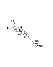 CC(C)CCCC(C)C1CCC2C3CCC4CC(OC(=O)CCCCCCc5ccc(N)cc5N)CCC4(C)C3CCC12C